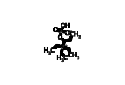 CCC(OP(=O)([O-])O)[N+](CC)(CC)CC